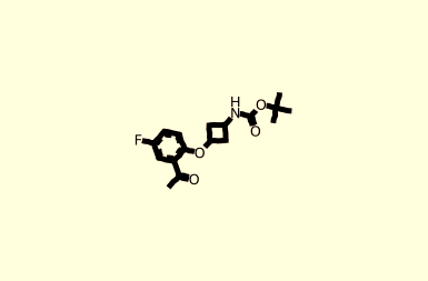 CC(=O)c1cc(F)ccc1OC1CC(NC(=O)OC(C)(C)C)C1